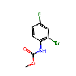 COC(=O)Nc1ccc(F)cc1Br